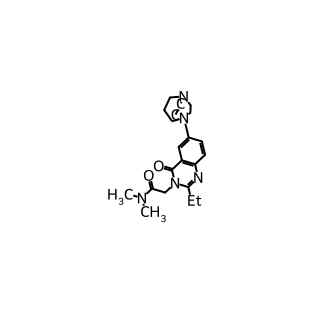 CCc1nc2ccc(N3CCN4CCC3CC4)cc2c(=O)n1CC(=O)N(C)C